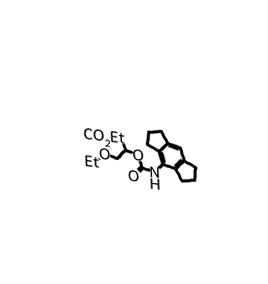 CCOCC(OC(=O)Nc1c2c(cc3c1CCC3)CCC2)C(=O)OCC